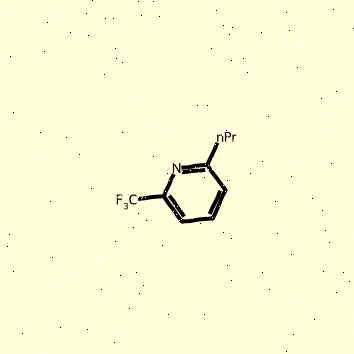 CCCc1cccc(C(F)(F)F)n1